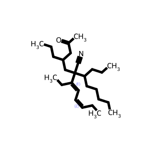 CC/C=C\C=C(/CC)C(C#N)(CC(CCC)CC(C)=O)C(CCC)CCCCC